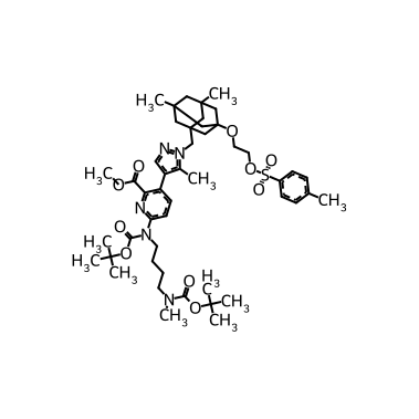 COC(=O)c1nc(N(CCCCN(C)C(=O)OC(C)(C)C)C(=O)OC(C)(C)C)ccc1-c1cnn(CC23CC4(C)CC(C)(C2)CC(OCCOS(=O)(=O)c2ccc(C)cc2)(C4)C3)c1C